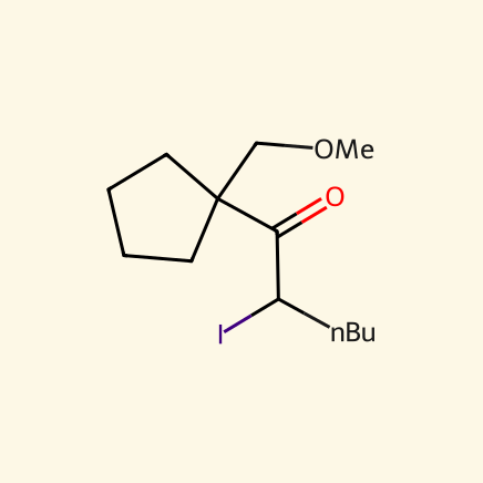 CCCCC(I)C(=O)C1(COC)CCCC1